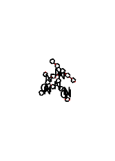 c1ccc(-c2ccc(-c3ccc(-c4ccc(-c5ccccc5)cc4)c4nc(-c5ccc(N(c6ccccc6)c6ccc(-c7nnc(-c8ccccc8)o7)cc6)cc5)c(-c5ccc(N(c6ccccc6)c6ccc(-c7nnc(-c8ccccc8)o7)cc6)cc5)nc34)cc2)cc1